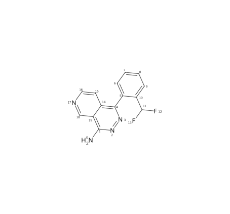 Nc1nnc(-c2ccccc2C(F)F)c2ccncc12